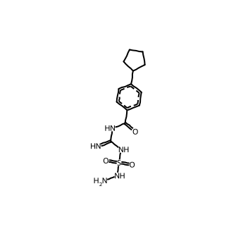 N=C(NC(=O)c1ccc(C2CCCC2)cc1)NS(=O)(=O)NN